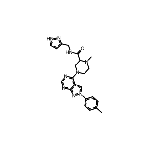 Cc1ccc(-n2cc3c(N4CCN(C)C(C(=O)NCc5cc[nH]n5)C4)ncnc3n2)cc1